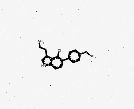 NCCc1c[nH]c2ccc(-c3ccc(CN)cc3)c(Cl)c12